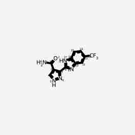 NC(=O)c1c[nH]nc1-c1nc2cc(C(F)(F)F)ccc2[nH]1